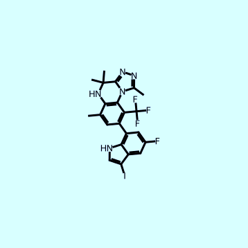 Cc1cc(-c2cc(F)cc3c(I)c[nH]c23)c(C(F)(F)F)c2c1NC(C)(C)c1nnc(C)n1-2